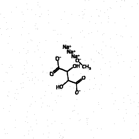 C[O-].O=C([O-])C(O)C(O)C(=O)[O-].[Na+].[Na+].[Na+]